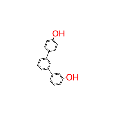 Oc1ccc(-c2cccc(-c3cccc(O)c3)c2)cc1